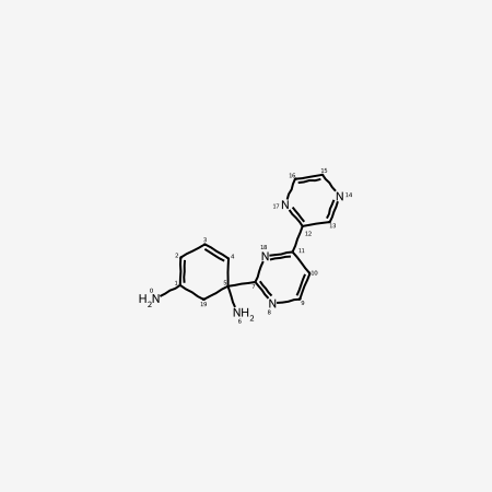 NC1=CC=CC(N)(c2nccc(-c3cnccn3)n2)C1